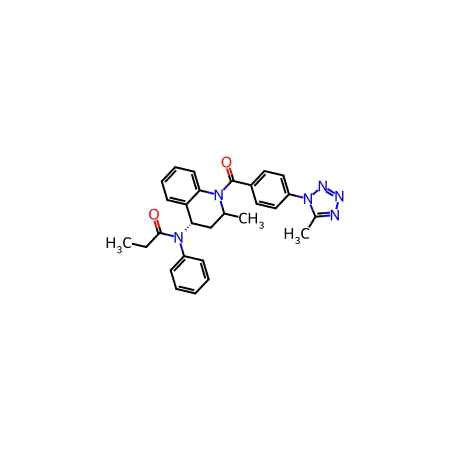 CCC(=O)N(c1ccccc1)[C@H]1CC(C)N(C(=O)c2ccc(-n3nnnc3C)cc2)c2ccccc21